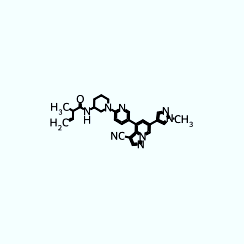 C=CC(C)C(=O)NC1CCCN(c2ccc(-c3cc(-c4cnn(C)c4)cn4ncc(C#N)c34)cn2)C1